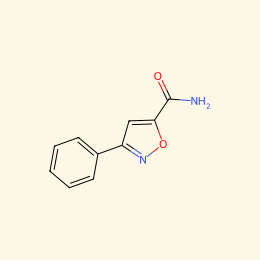 NC(=O)c1cc(-c2ccccc2)no1